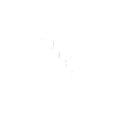 CCCCCCNCCC(N)CCN